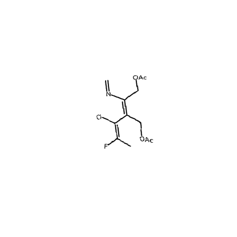 C=N/C(COC(C)=O)=C(COC(C)=O)\C(Cl)=C(/C)F